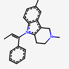 CC=C(c1ccccc1)n1c2c(c3cc(C)ccc31)CN(C)CC2